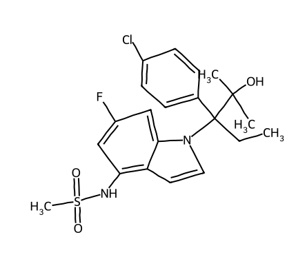 CCC(c1ccc(Cl)cc1)(n1ccc2c(NS(C)(=O)=O)cc(F)cc21)C(C)(C)O